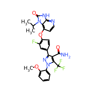 COc1ccccc1-n1nc(-c2ccc(Oc3ccnc4[nH]c(=O)n(C(C)C)c34)c(F)c2)c(C(N)=O)c1C(F)(F)F